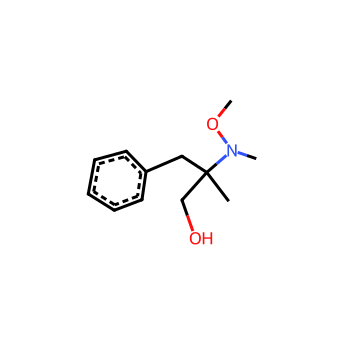 CON(C)C(C)(CO)Cc1ccccc1